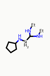 CCNC(NCC)[SiH2]NC1CCCC1